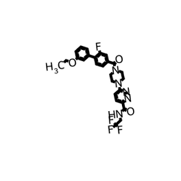 CCOc1cccc(-c2ccc(C(=O)N3CCN(c4ccc(C(=O)NCC(F)(F)F)nn4)CC3)cc2F)c1